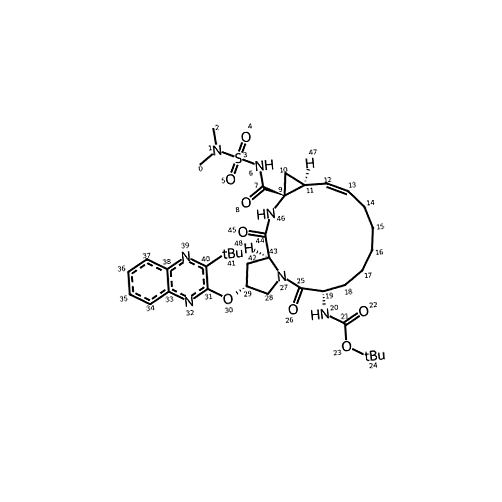 CN(C)S(=O)(=O)NC(=O)[C@@]12C[C@H]1/C=C\CCCCC[C@H](NC(=O)OC(C)(C)C)C(=O)N1C[C@H](Oc3nc4ccccc4nc3C(C)(C)C)C[C@H]1C(=O)N2